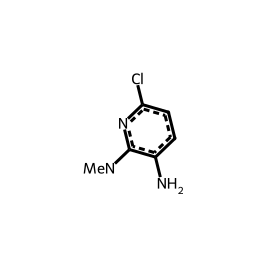 CNc1nc(Cl)ccc1N